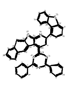 c1ccc(-c2nc(-c3ccccc3)nc(-c3cc(-c4cccc5sc6ccccc6c45)nc4oc5cc6ccccc6cc5c34)n2)cc1